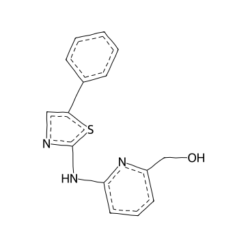 OCc1cccc(Nc2ncc(-c3ccccc3)s2)n1